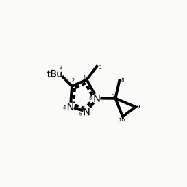 Cc1c(C(C)(C)C)nnn1C1(C)CC1